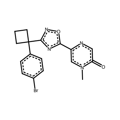 Cn1cc(-c2nc(C3(c4ccc(Br)cc4)CCC3)no2)ncc1=O